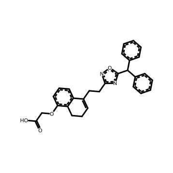 O=C(O)COc1cccc2c1CCC=C2CCc1noc(C(c2ccccc2)c2ccccc2)n1